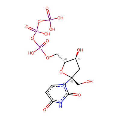 O=c1ccn([C@@]2(CO)C[C@H](O)[C@@H](COP(=O)(O)OP(=O)(O)OP(=O)(O)O)O2)c(=O)[nH]1